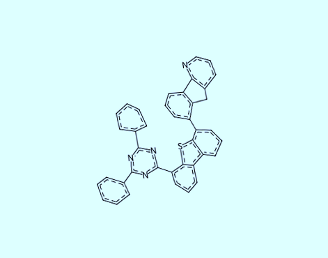 c1ccc(-c2nc(-c3ccccc3)nc(-c3cccc4c3sc3c(-c5cccc6c5Cc5cccnc5-6)cccc34)n2)cc1